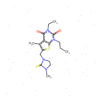 Cc1c(CN2CCN(C)C2=S)sc2c1c(=O)n(CC(F)(F)F)c(=O)n2CCC(F)(F)F